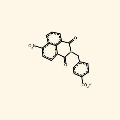 O=C(O)c1ccc(CN2C(=O)c3cccc4c([N+](=O)[O-])ccc(c34)C2=O)cc1